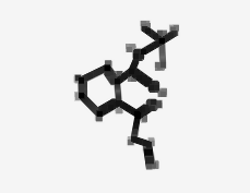 C=CCC(=O)c1ccccc1C(=O)OC(C)(C)C